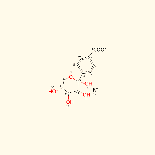 O=C([O-])c1ccc([C@]2(O)OC[C@@H](O)[C@H](O)[C@H]2O)cc1.[K+]